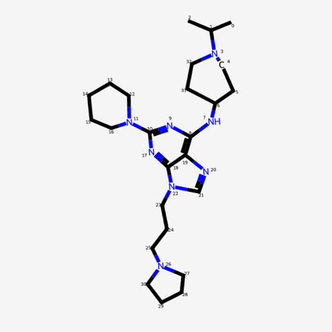 CC(C)N1CCC(Nc2nc(N3CCCCC3)nc3c2ncn3CCCN2CCCC2)CC1